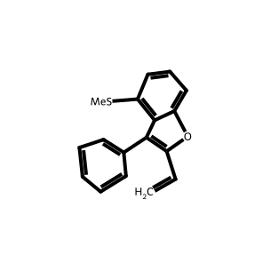 C=Cc1oc2cccc(SC)c2c1-c1ccccc1